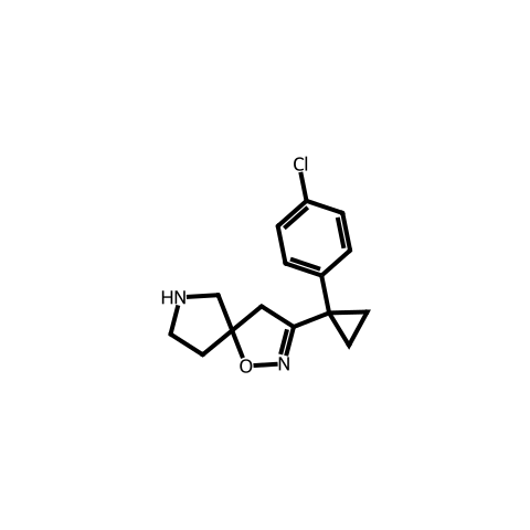 Clc1ccc(C2(C3=NOC4(CCNC4)C3)CC2)cc1